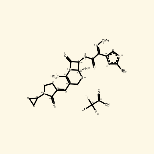 CON=C(C(=O)N[C@@H]1C(=O)N2C(C(=O)O)=C(C=C3CCN(C4CC4)C3=O)CS[C@H]12)c1csc(N)n1.O=C(O)C(F)(F)F